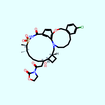 C[C@@H]1[C@@H](C)CCC[C@@](O)(CC(=O)N2CCOC2=O)[C@@H]2CC[C@H]2CN2CCCCc3cc(Cl)ccc3COc3ccc(cc32)C(=O)NS1(=O)=O